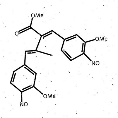 COC(=O)C(=C/c1ccc(N=O)c(OC)c1)/C(C)=C/c1ccc(N=O)c(OC)c1